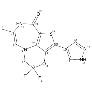 CC1=CN2CC(F)(F)Oc3c(-c4cn[nH]c4)sc(c32)C(=O)N1